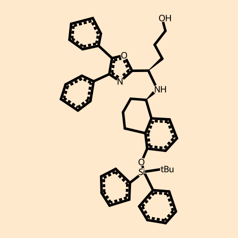 CC(C)(C)[Si](Oc1cccc2c1CCC[C@H]2N[C@H](CCCO)c1nc(-c2ccccc2)c(-c2ccccc2)o1)(c1ccccc1)c1ccccc1